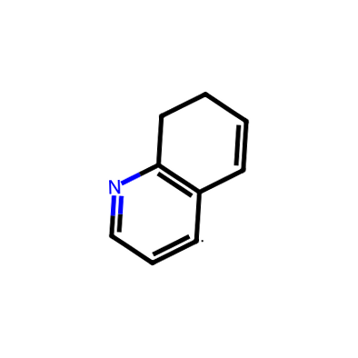 [c]1ccnc2c1C=CCC2